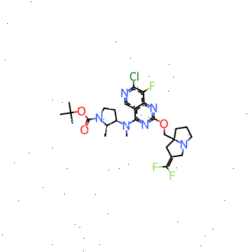 C[C@@H]1[C@H](N(C)c2nc(OCC34CCCN3CC(=C(F)F)C4)nc3c(F)c(Cl)ncc23)CCN1C(=O)OC(C)(C)C